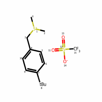 C[S+](C)Cc1ccc(C(C)(C)C)cc1.O=S(=O)([O-])C(F)(F)F